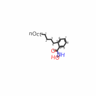 CCCCCCCCCCCCc1ccccc1C(=O)NO